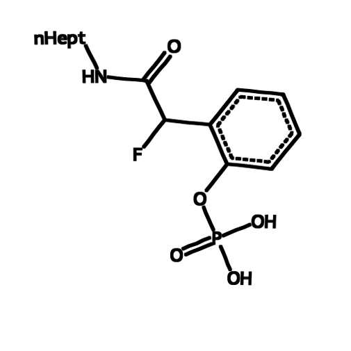 CCCCCCCNC(=O)C(F)c1ccccc1OP(=O)(O)O